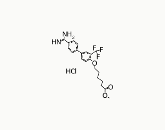 COC(=O)CCCCCOc1ccc(-c2ccc(C(=N)N)cc2)cc1C(F)(F)F.Cl